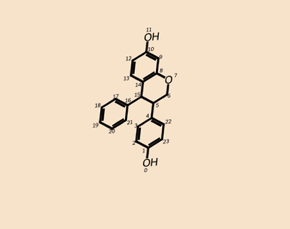 Oc1ccc(C2COc3cc(O)ccc3C2c2ccccc2)cc1